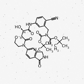 CC(C)(C)OC(=O)N(Cc1cc(NC(=O)[C@H](O)[C@H]2OCCN(c3ccc4c(c3)CNC4=O)C2=O)ccc1C#N)C(=O)OC(C)(C)C